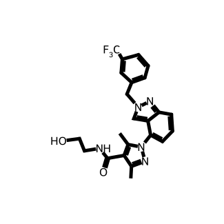 Cc1nn(-c2cccc3nn(Cc4cccc(C(F)(F)F)c4)cc23)c(C)c1C(=O)NCCO